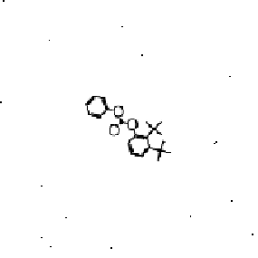 CC(C)(C)c1cccc(OC(=O)Oc2ccccc2)c1C(C)(C)C